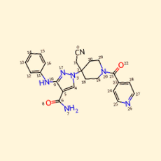 N#CCC1(n2cc(C(N)=O)c(Nc3ccccc3)n2)CCN(C(=O)c2ccncc2)CC1